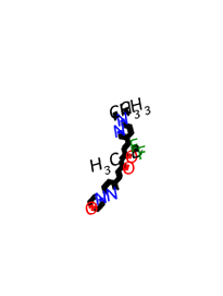 CCN(CC)c1ccc(/C=C/C(OB(F)F)=C(\C)C(=O)/C=C/c2ccc(N3CCOCC3)nc2)cn1